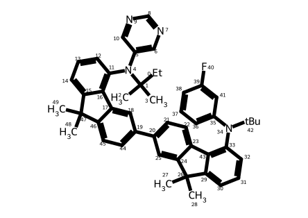 CCC(C)(C)N(c1cncnc1)c1cccc2c1-c1cc(-c3ccc4c(c3)C(C)(C)c3cccc(N(c5cccc(F)c5)C(C)(C)C)c3-4)ccc1C2(C)C